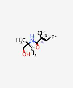 C/C(=C\C(C)C)C(=O)NC(C)(C)CO